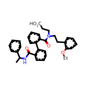 CCOc1ccccc1CCN(CCC(=O)O)C(=O)c1ccccc1-c1ccccc1C(=O)NC(C)c1ccccc1